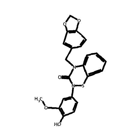 COc1cc(N2Sc3ccccc3N(Cc3ccc4c(c3)OCO4)C2=O)ccc1O